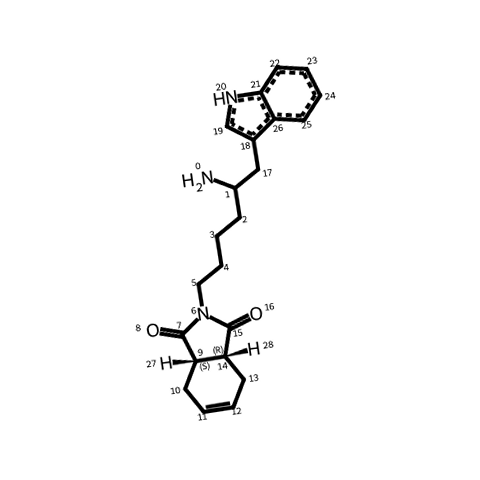 NC(CCCCN1C(=O)[C@H]2CC=CC[C@H]2C1=O)Cc1c[nH]c2ccccc12